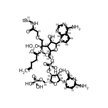 C=CCCC(=O)N(C)[C@](COCC(=O)NC(C)(C)C)(C(=O)O)C1C(COP(=O)(O)O[C@H]2[C@@H](O)[C@H](n3ccc(N)nc3=O)O[C@@H]2COP(=O)(O)O)OC(n2ccc3c(N)ncnc32)C1O